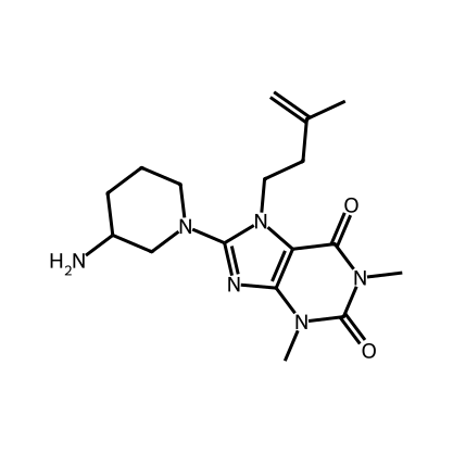 C=C(C)CCn1c(N2CCCC(N)C2)nc2c1c(=O)n(C)c(=O)n2C